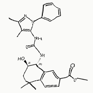 COC(=O)c1ccc2c(c1)[C@@H](NC(=O)Nc1c(C)c(C)nn1-c1ccccc1)[C@H](O)CC2(C)C